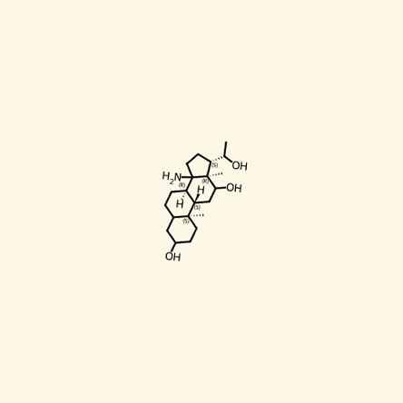 CC(O)[C@H]1CCC2(N)[C@@H]3CCC4CC(O)CC[C@]4(C)[C@H]3CC(O)[C@]12C